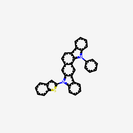 c1ccc(-n2c3ccccc3c3ccc4cc5c(cc4c32)c2ccccc2n5-c2cc3ccccc3s2)cc1